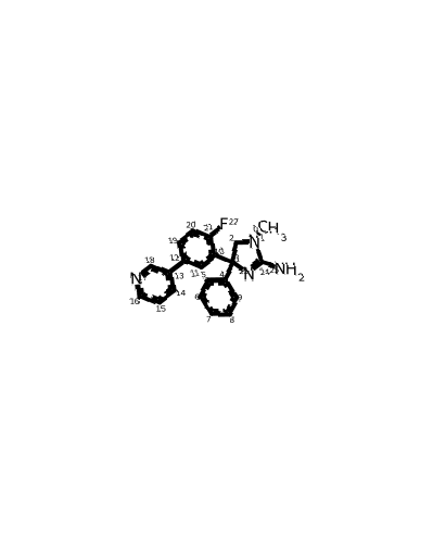 CN1CC(c2ccccc2)(c2cc(-c3cccnc3)ccc2F)N=C1N